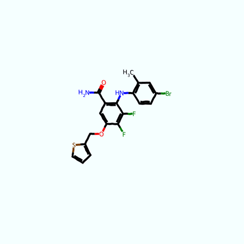 Cc1cc(Br)ccc1Nc1c(C(N)=O)cc(OCc2cccs2)c(F)c1F